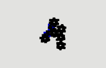 c1ccc(-c2ccc(-c3ccccc3)c(-c3cc4c5c(c3)n3c6ccccc6nc3n5c3nc5ccccc5n43)c2)cc1